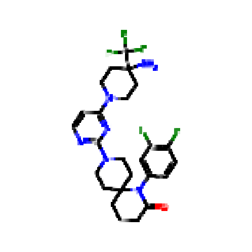 NC1(C(F)(F)F)CCN(c2ccnc(N3CCC4(CCCC(=O)N4c4ccc(F)c(F)c4)CC3)n2)CC1